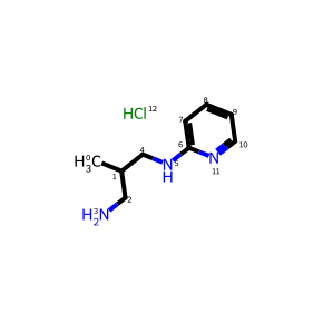 CC(CN)CNc1ccccn1.Cl